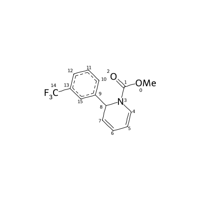 COC(=O)N1C=CC=CC1c1cccc(C(F)(F)F)c1